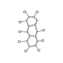 Clc1[c]c2c(Cl)c3c(Cl)c(Cl)c(Cl)c(Cl)c3c(Cl)c2c(Cl)c1Cl